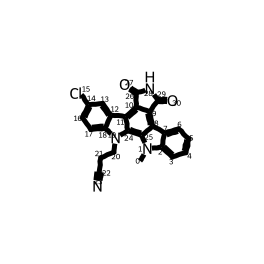 Cn1c2ccccc2c2c3c(c4c5cc(Cl)ccc5n(CCC#N)c4c21)C(=O)NC3=O